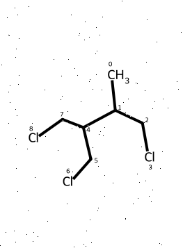 CC(CCl)[C](CCl)CCl